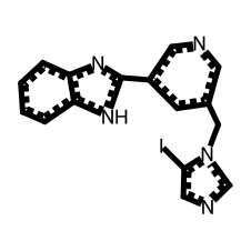 Ic1cncn1Cc1cncc(-c2nc3ccccc3[nH]2)c1